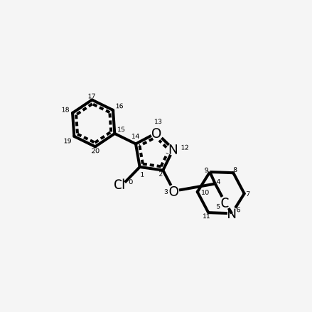 Clc1c(OC2CN3CCC2CC3)noc1-c1ccccc1